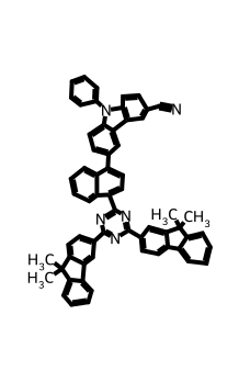 CC1(C)c2ccccc2-c2cc(-c3nc(-c4ccc5c(c4)C(C)(C)c4ccccc4-5)nc(-c4ccc(-c5ccc6c(c5)c5cc(C#N)ccc5n6-c5ccccc5)c5ccccc45)n3)ccc21